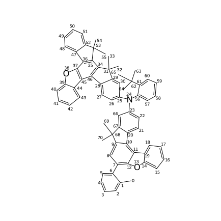 Cc1ccccc1-c1cc2c(c3c1oc1ccccc13)-c1ccc(N(c3ccc4c(c3)C(C)(C)c3c5c(c6oc7ccccc7c6c3-4)-c3ccccc3C5(C)C)c3ccccc3C(C)(C)C)cc1C2(C)C